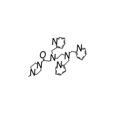 CN1CCN(C(=O)CN(CCN(Cc2ccccn2)Cc2ccccn2)Cc2ccccn2)CC1